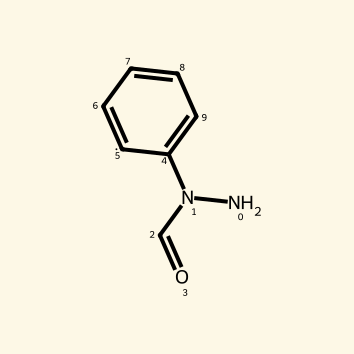 NN(C=O)c1[c]cccc1